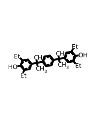 CCc1cc(C(C)(C)c2ccc(C(C)(C)c3cc(CC)c(O)c(CC)c3)cc2)cc(CC)c1O